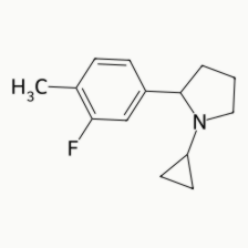 Cc1ccc(C2CCCN2C2CC2)cc1F